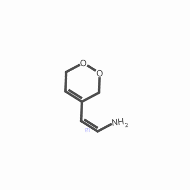 N/C=C\C1=CCOOC1